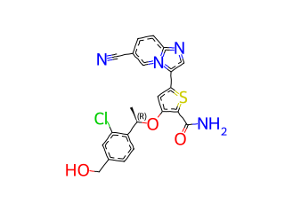 C[C@@H](Oc1cc(-c2cnc3ccc(C#N)cn23)sc1C(N)=O)c1ccc(CO)cc1Cl